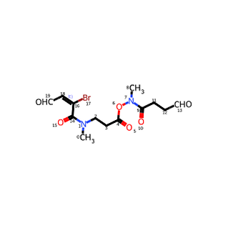 CN(CCC(=O)ON(C)C(=O)CCC=O)C(=O)/C(Br)=C\C=O